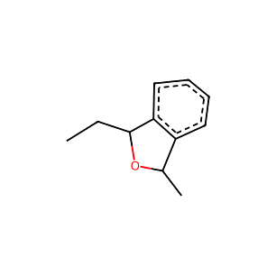 CCC1OC(C)c2ccccc21